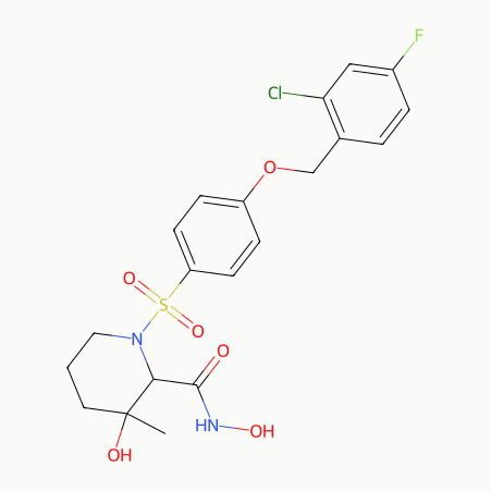 CC1(O)CCCN(S(=O)(=O)c2ccc(OCc3ccc(F)cc3Cl)cc2)C1C(=O)NO